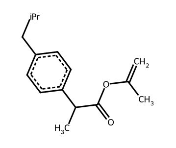 C=C(C)OC(=O)C(C)c1ccc(CC(C)C)cc1